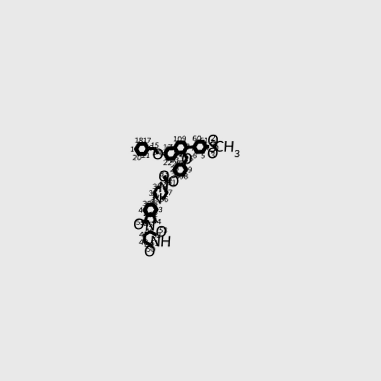 CS(=O)(=O)c1ccc(-c2ccc3cc(OCc4ccccc4)ccc3c2Oc2ccc(OC(=O)N3CCN(c4ccc5c(c4)CN(C4CCC(=O)NC4=O)C5=O)CC3)cc2)cc1